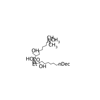 CCCCCCCCCCCCCCCCC(O)(CC)OP(=O)(O)C(CO)CCCCCC[N+](C)(C)C